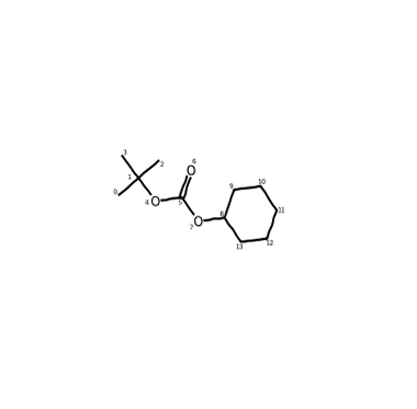 CC(C)(C)OC(=O)OC1CCCCC1